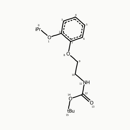 CC(C)Oc1ccccc1OCCNC(=O)OC(C)(C)C